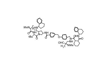 CN[C@@H](C)C(=O)NC(C(=O)N1CC(NC(=O)c2ccc(COc3ccc(CN(NCC(C)(C=O)NC)C(=O)C4CCCCC4C(=O)NC4CCCc5ccccc54)cc3)cc2)CC1CNC1CCCc2ccccc21)C(C)(C)C